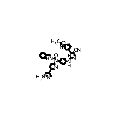 Cc1nc2cc(-c3nc(Nc4ccc(N(C(=O)NCc5ccccc5)c5ccc(-c6cnn(C)c6)cn5)cc4)ncc3C#N)ccc2o1